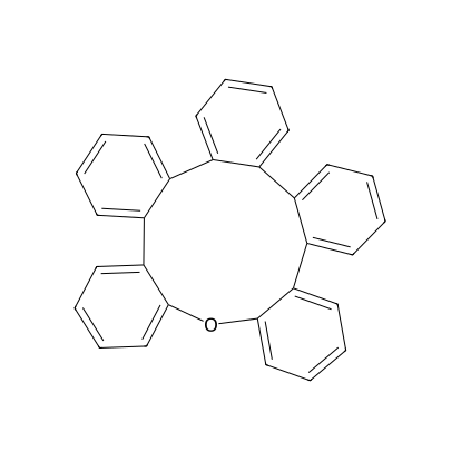 c1ccc2c(c1)Oc1ccccc1-c1ccccc1-c1ccccc1-c1ccccc1-2